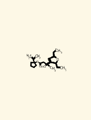 CCC1CC(C(C)(O)CC(=O)OC2(C(C)C)CCCC2)C(CC)O1